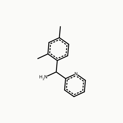 Cc1ccc(C(N)c2ccccn2)c(C)c1